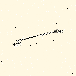 CCCCCCCCCCCCCCCCCCCCCCCCCCCCCCC(C)C(O)=S